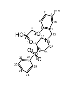 O=C(O)COc1ccc(F)cc1CN1CCN(S(=O)(=O)c2ccccc2)CC1